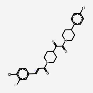 O=C(C(=O)N1CCC(c2ccc(Cl)cc2)CC1)C1CCN(C(=O)/C=C/c2ccc(Cl)c(Cl)c2)CC1